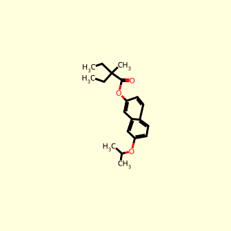 CCC(C)(CC)C(=O)Oc1ccc2ccc(OC(C)C)cc2c1